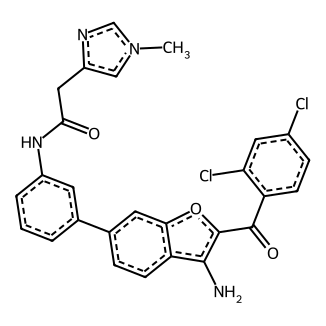 Cn1cnc(CC(=O)Nc2cccc(-c3ccc4c(N)c(C(=O)c5ccc(Cl)cc5Cl)oc4c3)c2)c1